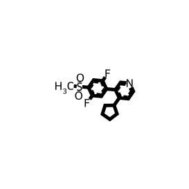 CS(=O)(=O)c1cc(F)c(-c2cnccc2C2CCCC2)cc1F